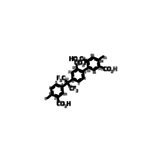 Cc1ccc(C(c2ccc(-c3cc(C(=O)O)c(C)cc3C(=O)O)c(C(=O)O)c2)(C(F)(F)F)C(F)(F)F)cc1C(=O)O